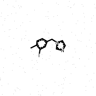 Cc1ccc(Cn2ccnc2)cc1I